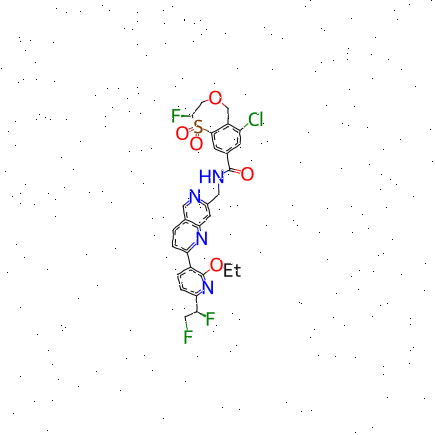 CCOc1nc([C@@H](F)CF)ccc1-c1ccc2cnc(CNC(=O)c3cc(Cl)c4c(c3)S(=O)(=O)[C@@H](F)COC4)cc2n1